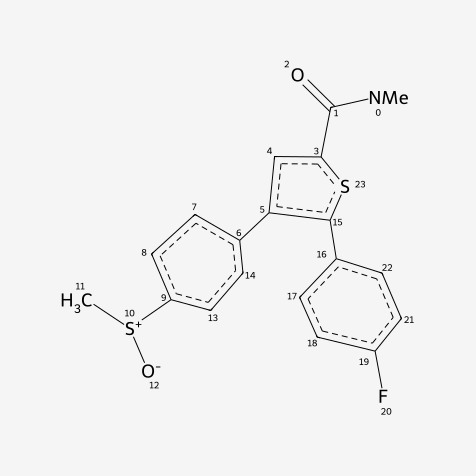 CNC(=O)c1cc(-c2ccc([S+](C)[O-])cc2)c(-c2ccc(F)cc2)s1